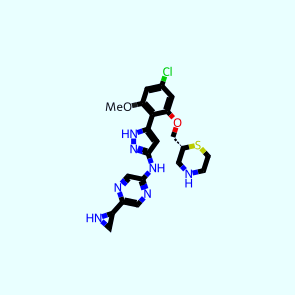 COc1cc(Cl)cc(OC[C@H]2CNCCS2)c1-c1cc(Nc2cnc(C3CN3)cn2)n[nH]1